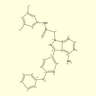 Cc1cc(C)cc(NC(=O)Cn2nc(-c3ccc(Oc4ccccc4)nc3)c3c(N)ncnc32)c1